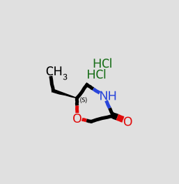 CC[C@H]1CNC(=O)CO1.Cl.Cl